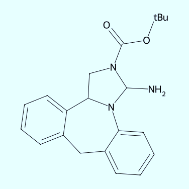 CC(C)(C)OC(=O)N1CC2c3ccccc3Cc3ccccc3N2C1N